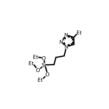 CCO[Si](CCCn1cc(CC)nn1)(OCC)OCC